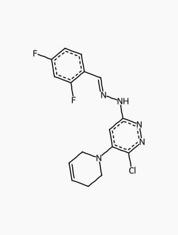 Fc1ccc(C=NNc2cc(N3CC=CCC3)c(Cl)nn2)c(F)c1